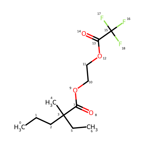 CCCC(C)(CC)C(=O)OCCOC(=O)C(F)(F)F